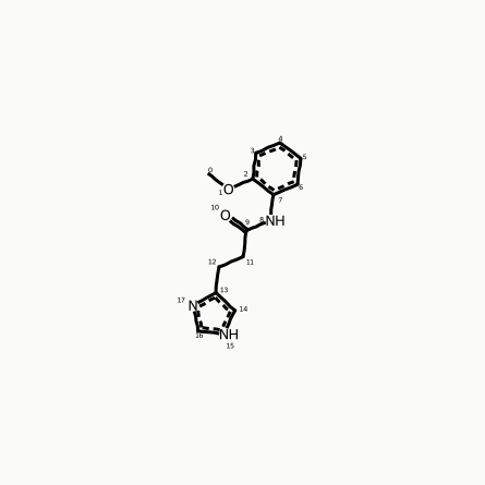 COc1ccccc1NC(=O)CCc1c[nH]cn1